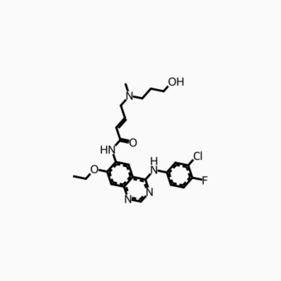 CCOc1cc2ncnc(Nc3ccc(F)c(Cl)c3)c2cc1NC(=O)/C=C/CN(C)CCCO